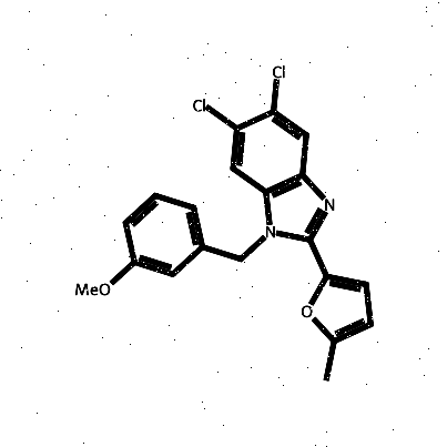 COc1cccc(Cn2c(-c3ccc(C)o3)nc3cc(Cl)c(Cl)cc32)c1